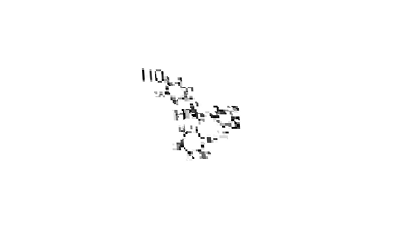 Oc1ccc(CNC(c2ccsc2)C2CCCCC2)cc1